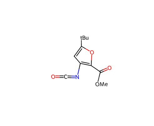 COC(=O)c1oc(C(C)(C)C)cc1N=C=O